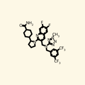 Cn1nnc(N(Cc2cc(C(F)(F)F)cc(C(F)(F)F)c2)Cc2cc3cc(F)c(F)cc3nc2N2CCCC2C2CCC(C(N)=O)CC2)n1